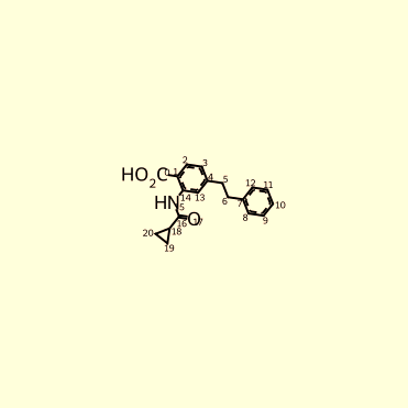 O=C(O)c1ccc(CCc2ccccc2)cc1NC(=O)C1CC1